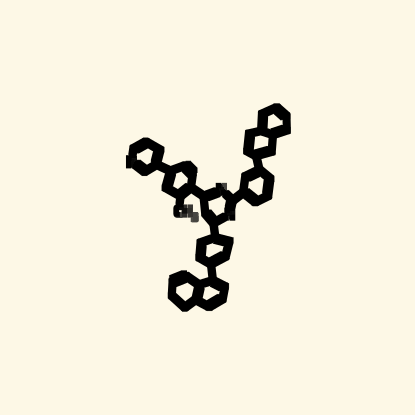 Cc1cc(-c2cccnc2)c#cc1-c1cc(-c2ccc(-c3cccc4c3C#CCC4)cc2)nc(-c2cccc(-c3ccc4ccccc4c3)c2)n1